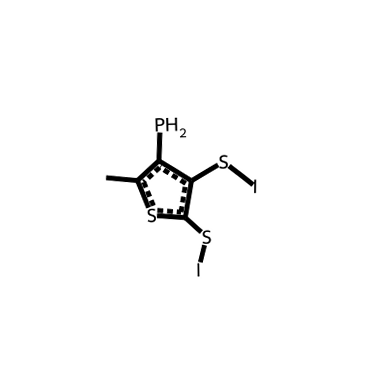 Cc1sc(SI)c(SI)c1P